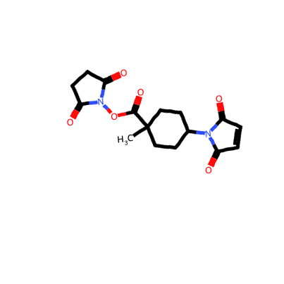 CC1(C(=O)ON2C(=O)CCC2=O)CCC(N2C(=O)C=CC2=O)CC1